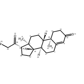 C[C@]12CC[C@H]3[C@@H](CCC4=CC(=O)CC[C@@]43C)[C@@H]1CC[C@@H]2C(=O)CBr